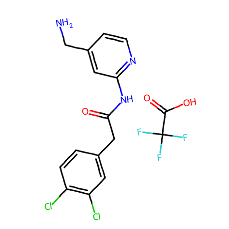 NCc1ccnc(NC(=O)Cc2ccc(Cl)c(Cl)c2)c1.O=C(O)C(F)(F)F